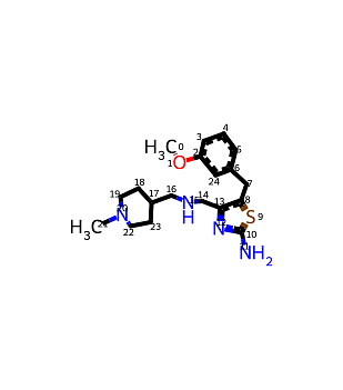 COc1cccc(Cc2sc(N)nc2CNCC2CCN(C)CC2)c1